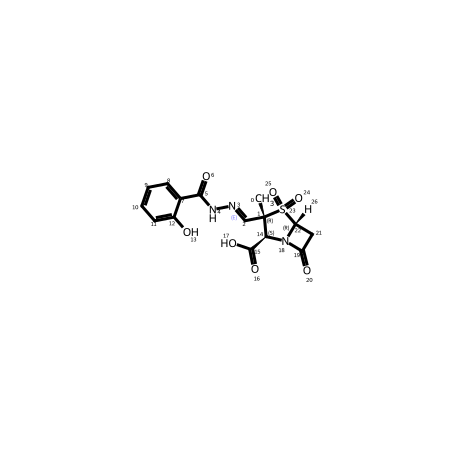 C[C@]1(/C=N/NC(=O)c2ccccc2O)[C@H](C(=O)O)N2C(=O)C[C@H]2S1(=O)=O